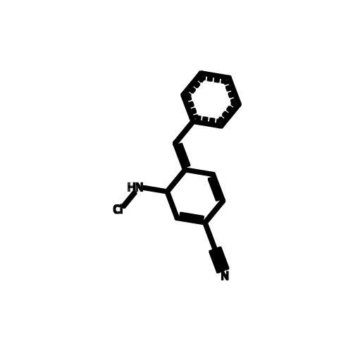 N#CC1=CC(NCl)C(=Cc2ccccc2)C=C1